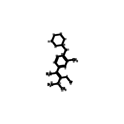 Cc1nc(/C(N)=C(\CBr)N(C)N)ccc1OC1CCCOC1